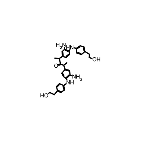 CC(C(=O)C(C)c1ccc(Nc2ccc(CCO)cc2)c(N)c1)c1ccc(Nc2ccc(CCO)cc2)c(N)c1